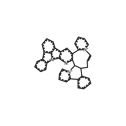 C1=C/[n+]2ccccc2-c2cc3c4cccc5c6ccccc6n(c3nc2C2C(C/1)c1ccccc1-c1cccc[n+]12)c54